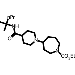 CCCC(C)(C)NC(=O)C1CCN(C2CCCN(C(=O)OCC)CC2)CC1